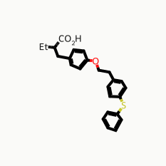 CCC(Cc1ccc(OCCc2ccc(Sc3ccccc3)cc2)cc1)C(=O)O